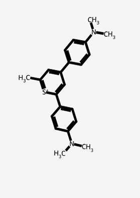 Cc1cc(-c2ccc(N(C)C)cc2)cc(-c2ccc(N(C)C)cc2)[s+]1